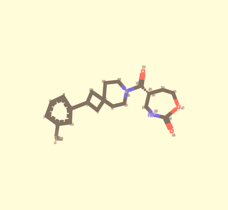 CC(C)(C)c1cccc(C2CC3(CCN(C(=O)[C@@H]4CCOC(=O)NC4)CC3)C2)c1